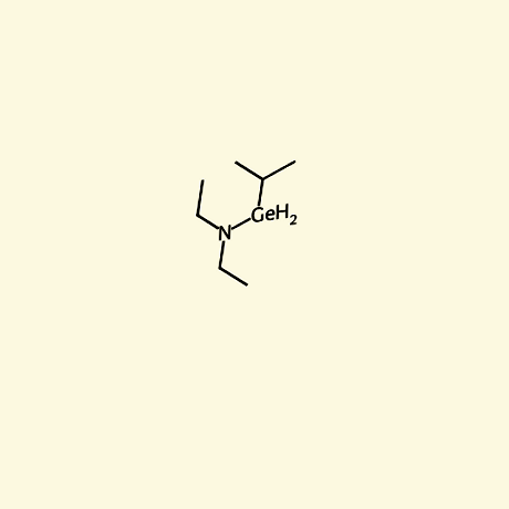 CC[N](CC)[GeH2][CH](C)C